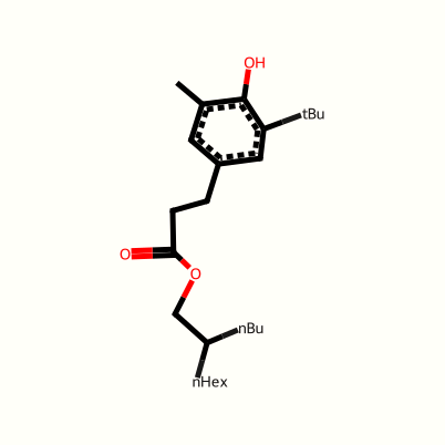 CCCCCCC(CCCC)COC(=O)CCc1cc(C)c(O)c(C(C)(C)C)c1